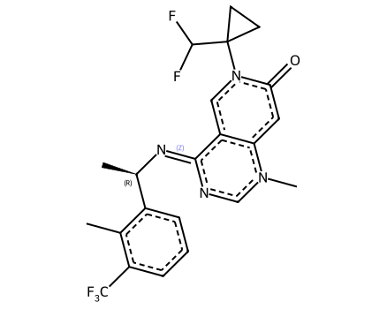 Cc1c([C@@H](C)/N=c2\ncn(C)c3cc(=O)n(C4(C(F)F)CC4)cc23)cccc1C(F)(F)F